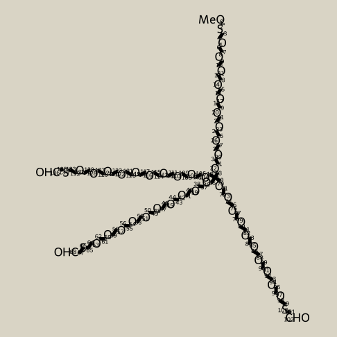 COCSCCOCCOCCOCCOCCOCCOCCOCCOCCOCCOCC(COCCOCCOCCOCCOCCOCCOCCOCCOCCOCCSCC=O)(COCCOCCOCCOCCOCCOCCOCCOCCOCCOCCSCC=O)COCCOCCOCCOCCOCCOCCOCCOCCOCCOCCSCC=O